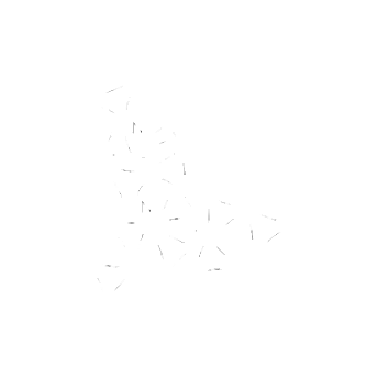 c1ccc(-c2ccc(N(c3ccc4c(c3)C(c3ccccc3)(c3ccccc3)c3cc(-c5ccccc5)ccc3-4)c3cccc4c3-c3ccccc3C43c4ccccc4-n4c5ccccc5c5cccc3c54)cc2)cc1